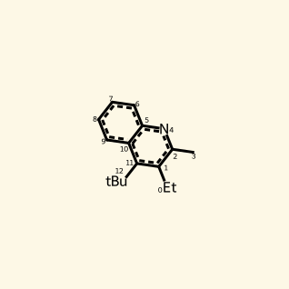 CCc1c(C)nc2ccccc2c1C(C)(C)C